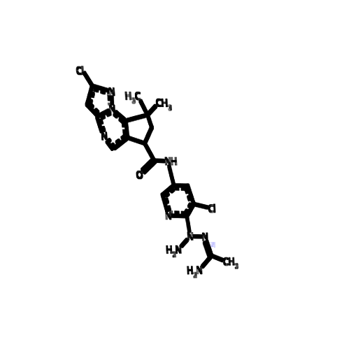 C/C(N)=N/N(N)c1ncc(NC(=O)C2CC(C)(C)c3c2cnc2cc(Cl)nn32)cc1Cl